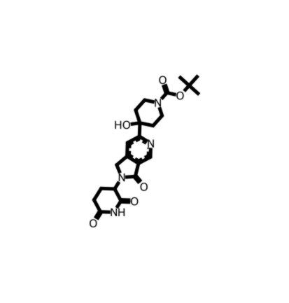 CC(C)(C)OC(=O)N1CCC(O)(c2cc3c(cn2)C(=O)N(C2CCC(=O)NC2=O)C3)CC1